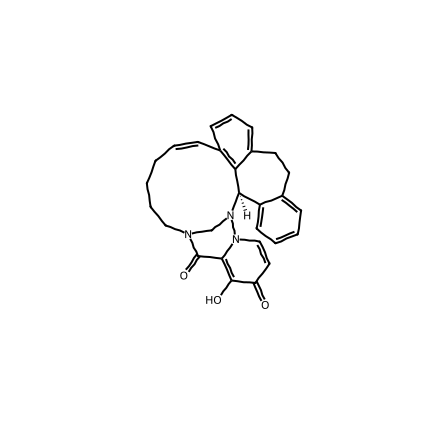 O=C1c2c(O)c(=O)ccn2N2CN1CCCC/C=C\c1cccc3c1[C@H]2c1ccccc1CC3